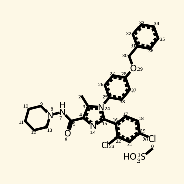 CS(=O)(=O)O.Cc1c(C(=O)NN2CCCCC2)nc(-c2ccc(Cl)cc2Cl)n1-c1ccc(OCc2ccccc2)cc1